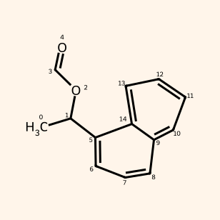 CC(OC=O)c1cccc2ccccc12